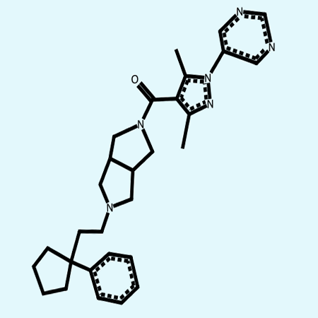 Cc1nn(-c2cncnc2)c(C)c1C(=O)N1CC2CN(CCC3(c4ccccc4)CCCC3)CC2C1